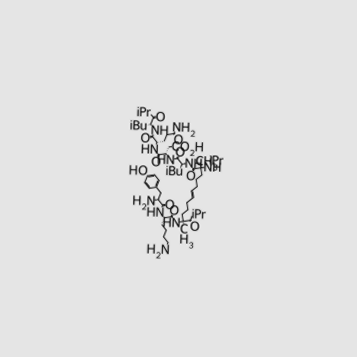 CC[C@H](C)[C@H](NC(=O)[C@](C)(CCC/C=C/CCC[C@](C)(NC(=O)[C@H](CCCCN)NC(=O)[C@@H](N)Cc1ccc(O)cc1)C(=O)C(C)C)NC(C)C)C(=O)N[C@@H](CC(=O)O)C(=O)N[C@@H](CCC(N)=O)C(=O)N[C@H](C(=O)C(C)C)[C@@H](C)CC